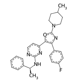 CC1CCN(c2nc(-c3ccc(F)cc3)c(-c3ccnc(N[C@@H](C)c4ccccc4)n3)o2)CC1